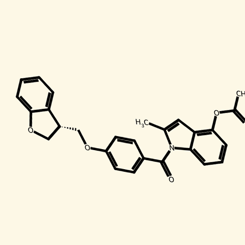 CC(=O)Oc1cccc2c1cc(C)n2C(=O)c1ccc(OC[C@@H]2COc3ccccc32)cc1